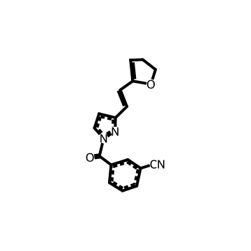 N#Cc1cccc(C(=O)n2ccc(/C=C/C3=CCCO3)n2)c1